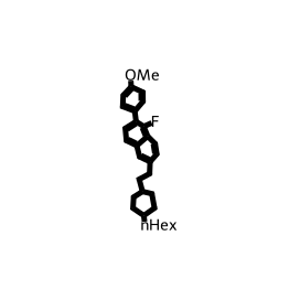 CCCCCCC1CCC(CCc2ccc3c(F)c(-c4ccc(OC)cc4)ccc3c2)CC1